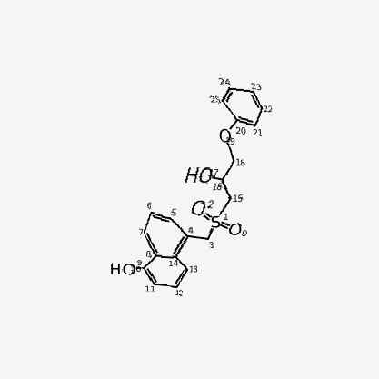 O=S(=O)(Cc1cccc2c(O)cccc12)CC(O)COc1ccccc1